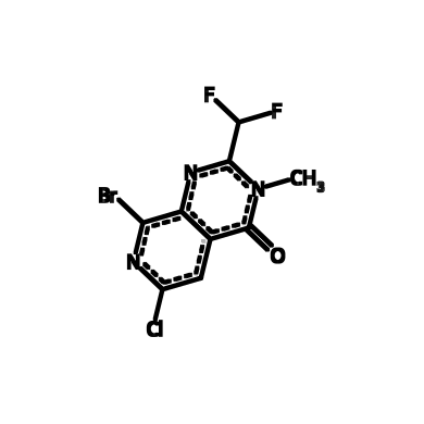 Cn1c(C(F)F)nc2c(Br)nc(Cl)cc2c1=O